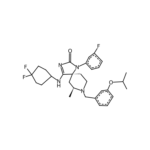 CC(C)Oc1cccc(CN2CC[C@]3(C[C@@H]2C)C(NC2CCC(F)(F)CC2)=NC(=O)N3c2cccc(F)c2)c1